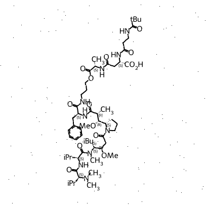 CC[C@H](C)[C@@H]([C@@H](CC(=O)N1CCC[C@H]1[C@H](OC)[C@@H](C)C(=O)N[C@@H](Cc1ccccc1)C(=O)NCCCOC(=O)[C@H](C)NC(=O)C[C@H](NC(=O)CCNC(=O)C(C)(C)C)C(=O)O)OC)N(C)C(=O)[C@@H](NC(=O)[C@H](C(C)C)N(C)C)C(C)C